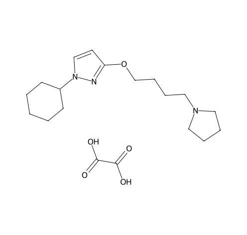 O=C(O)C(=O)O.c1cn(C2CCCCC2)nc1OCCCCN1CCCC1